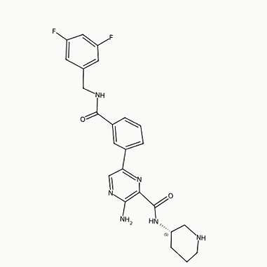 Nc1ncc(-c2cccc(C(=O)NCc3cc(F)cc(F)c3)c2)nc1C(=O)N[C@H]1CCCNC1